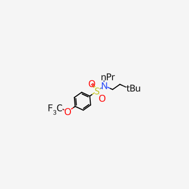 CCCN(CCC(C)(C)C)S(=O)(=O)c1ccc(OC(F)(F)F)cc1